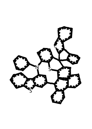 c1ccc(N(c2cccc3c2Sc2ccccc2C32c3ccccc3-c3c2ccc2ccccc32)c2cc(-c3cc4ccccc4c4ccccc34)cc3sc4ccccc4c23)cc1